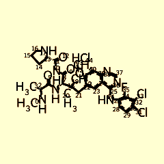 CN[C@@H](C)C(=O)N[C@H](C(=O)NC(=O)[C@@H]1CCCN1)C(C)(C)Cc1cc2c(Nc3ccc(Cl)c(Cl)c3F)ncnc2cc1OC.Cl